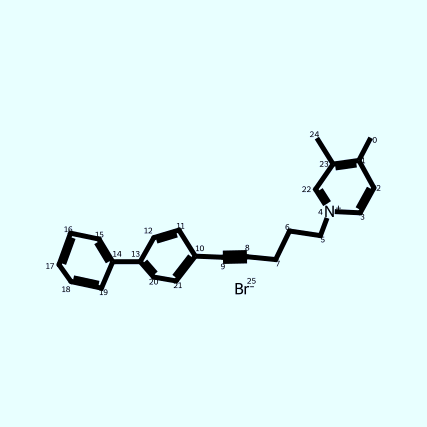 Cc1cc[n+](CCCC#Cc2ccc(-c3ccccc3)cc2)cc1C.[Br-]